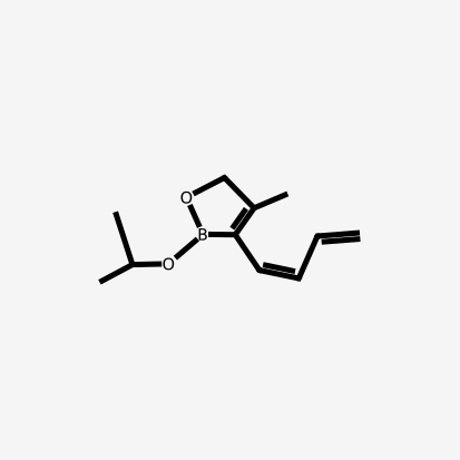 C=C/C=C\C1=C(C)COB1OC(C)C